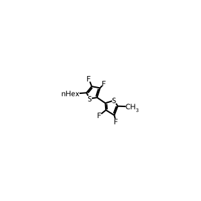 CCCCCCc1sc(-c2sc(C)c(F)c2F)c(F)c1F